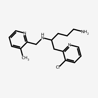 Cc1cccnc1CNC(CCCN)Cc1ncccc1Cl